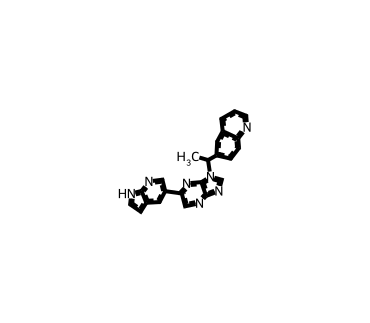 CC(c1ccc2ncccc2c1)n1cnc2ncc(-c3cnc4[nH]ccc4c3)nc21